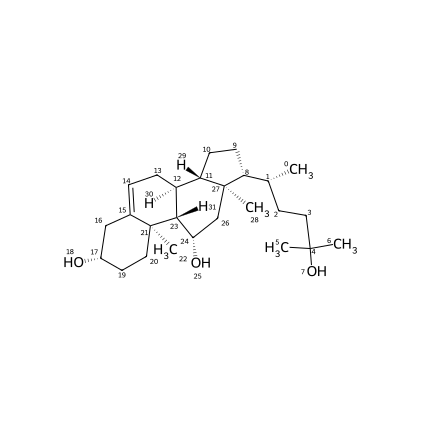 C[C@H](CCC(C)(C)O)[C@H]1CC[C@H]2[C@@H]3CC=C4C[C@@H](O)CC[C@]4(C)[C@H]3[C@@H](O)C[C@]12C